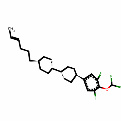 C/C=C/CCC[C@H]1CC[C@H]([C@H]2CC[C@H](c3cc(F)c(OC(F)F)c(F)c3)CC2)CC1